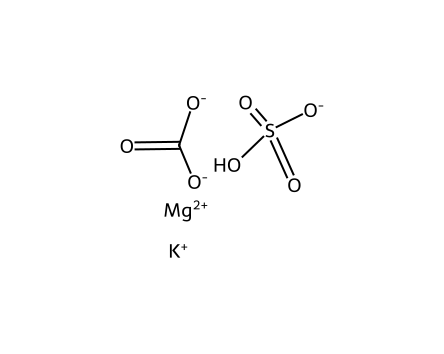 O=C([O-])[O-].O=S(=O)([O-])O.[K+].[Mg+2]